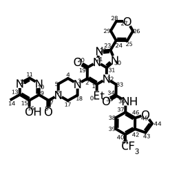 CCc1c(N2CCN(C(=O)c3ncnc(C)c3O)CC2)c(=O)n2nc(C3=CCOCC3)nc2n1CC(=O)Nc1ccc(C(F)(F)F)c2ccoc12